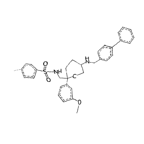 COc1cccc(C2(CNS(=O)(=O)c3ccc(C)cc3)CCC(NCc3ccc(-c4ccccc4)cc3)CC2)c1